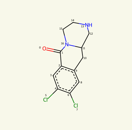 O=C1c2cc(Cl)c(Cl)cc2CC2CNCCN12